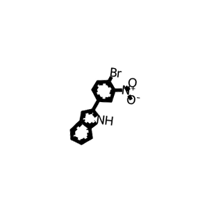 O=[N+]([O-])c1cc(-c2cc3ccccc3[nH]2)ccc1Br